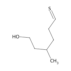 CC(CCO)CCC=S